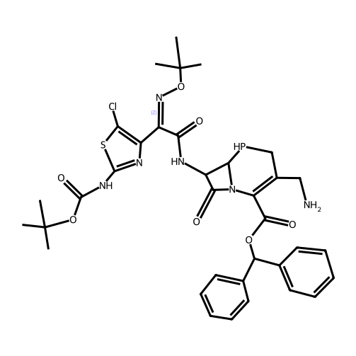 CC(C)(C)O/N=C(\C(=O)NC1C(=O)N2C(C(=O)OC(c3ccccc3)c3ccccc3)=C(CN)CPC12)c1nc(NC(=O)OC(C)(C)C)sc1Cl